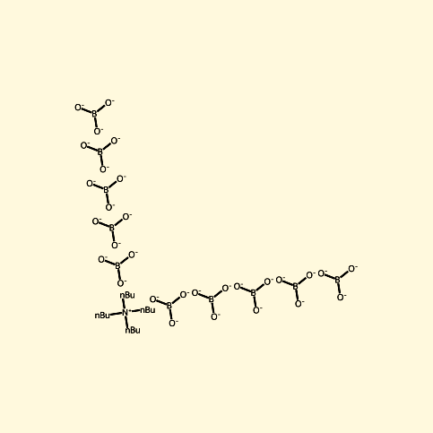 CCCC[N+](CCCC)(CCCC)CCCC.[O-]B([O-])[O-].[O-]B([O-])[O-].[O-]B([O-])[O-].[O-]B([O-])[O-].[O-]B([O-])[O-].[O-]B([O-])[O-].[O-]B([O-])[O-].[O-]B([O-])[O-].[O-]B([O-])[O-].[O-]B([O-])[O-]